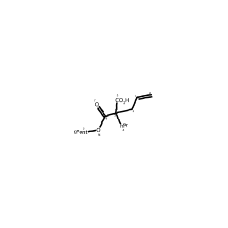 C=CCC(CCC)(C(=O)O)C(=O)OCCCCC